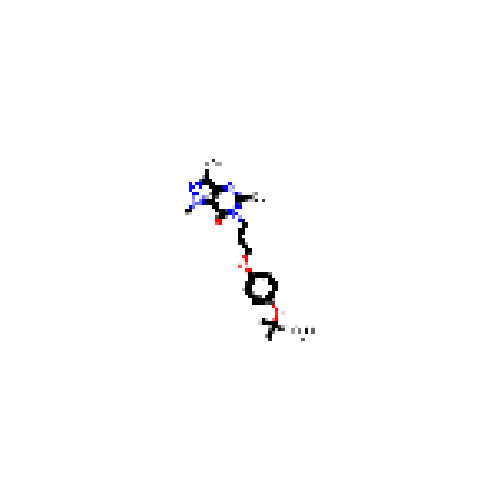 CCCc1nn(C)c2c(=O)n(CCCOc3ccc(OC(C)(C)C(=O)O)cc3)c(CC)nc12